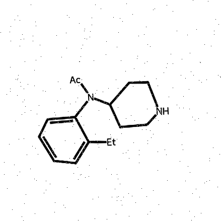 CCc1ccccc1N(C(C)=O)C1CCNCC1